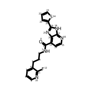 O=C(NCCCc1cccnc1F)c1ccnc2[nH]c(-c3cccs3)nc12